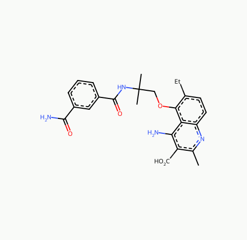 CCc1ccc2nc(C)c(C(=O)O)c(N)c2c1OCC(C)(C)NC(=O)c1cccc(C(N)=O)c1